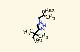 CCCCCCC(C)Cn1cc(C(C)(C)CC(C)(C)C)nn1